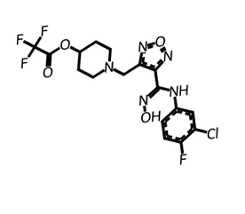 O=C(OC1CCN(Cc2nonc2C(=NO)Nc2ccc(F)c(Cl)c2)CC1)C(F)(F)F